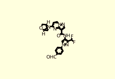 O=Cc1ccc(-n2cc(NC(=O)c3cnn4ccc(N5C[C@H]6C[C@@H]5CO6)nc34)c(C(F)F)n2)cc1